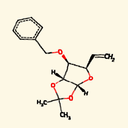 C=C[C@H]1O[C@@H]2OC(C)(C)O[C@@H]2[C@H]1OCc1ccccc1